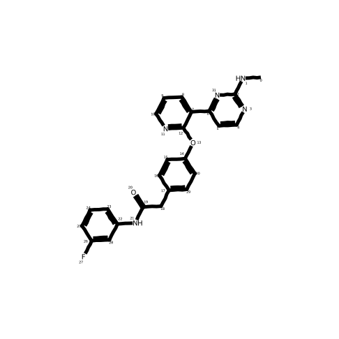 CNc1nccc(-c2cccnc2Oc2ccc(CC(=O)Nc3cccc(F)c3)cc2)n1